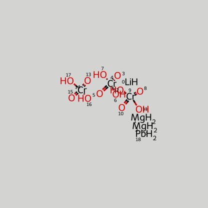 [LiH].[MgH2].[MgH2].[O]=[Cr](=[O])([OH])[OH].[O]=[Cr](=[O])([OH])[OH].[O]=[Cr](=[O])([OH])[OH].[PbH2]